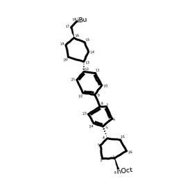 CCCCCCCC[C@H]1CC[C@H](c2ccc(-c3ccc([C@H]4CC[C@H](CC(C)CC)CC4)cc3)cc2)CC1